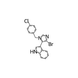 Clc1ccc(Cn2cnc(Br)c2-c2c[nH]c3ccccc23)cc1